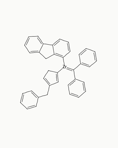 C1=C(Cc2ccccc2)C=[C]([Zr](=[C](c2ccccc2)c2ccccc2)[c]2cccc3c2Cc2ccccc2-3)C1